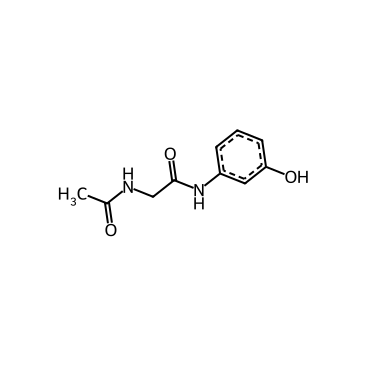 CC(=O)NCC(=O)Nc1cccc(O)c1